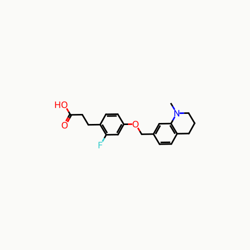 CN1CCCc2ccc(COc3ccc(CCC(=O)O)c(F)c3)cc21